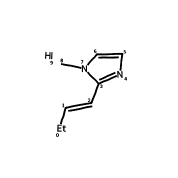 CCC=Cc1nccn1C.I